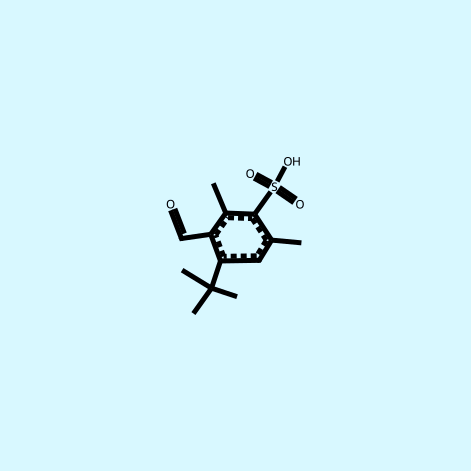 Cc1cc(C(C)(C)C)c(C=O)c(C)c1S(=O)(=O)O